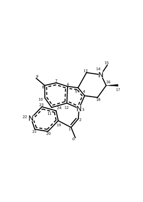 C/C(=C/n1c2c(c3cc(C)ccc31)CN(C)[C@@H](C)C2)c1ccncc1